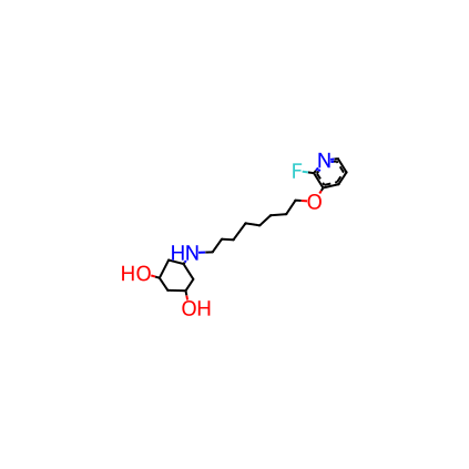 OC1CC(O)CC(NCCCCCCCCOc2cccnc2F)C1